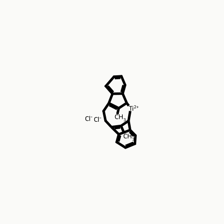 CC1=C2CCC3=C(C)[CH]([Ti+2][CH]1c1ccccc12)c1ccccc13.[Cl-].[Cl-]